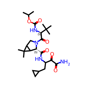 CC(C)OC(=O)N[C@H](C(=O)N1CC2C([C@H]1C(=O)NC(CC1CC1)C(=O)C(N)=O)C2(C)C)C(C)(C)C